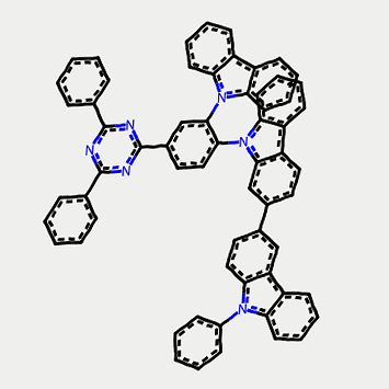 c1ccc(-c2nc(-c3ccccc3)nc(-c3ccc(-n4c5ccccc5c5ccc(-c6ccc7c(c6)c6ccccc6n7-c6ccccc6)cc54)c(-n4c5ccccc5c5ccccc54)c3)n2)cc1